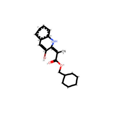 N#C/C(C(=O)OCC1CCCCC1)=C1\Nc2ccccc2C=C1Br